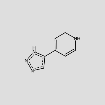 C1=CC(c2cnn[nH]2)=CCN1